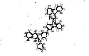 c1ccc(-n2c3ccc(-c4ccc5c(c4)c4ccccc4n5-c4cc5c6c(cccc6n4)-c4ccccc4-5)cc3c3cc4ccccc4cc32)cc1